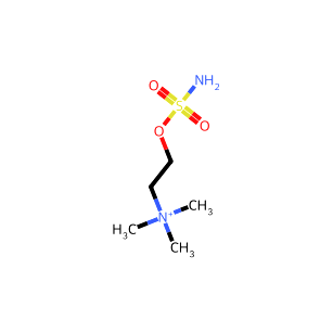 C[N+](C)(C)CCOS(N)(=O)=O